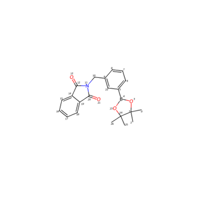 CC1(C)OB(c2cccc(CN3C(=O)c4ccccc4C3=O)c2)OC1(C)C